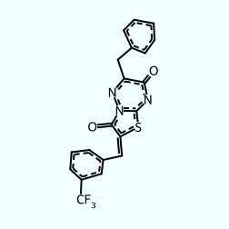 O=c1nc2s/c(=C/c3cccc(C(F)(F)F)c3)c(=O)n2nc1Cc1ccccc1